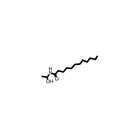 CCCCCCCCCCCC(=O)NC(C)O